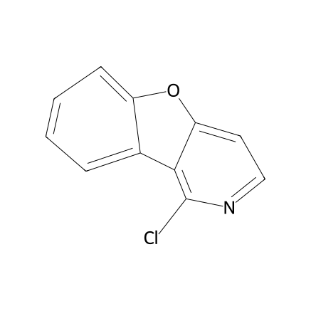 Clc1nccc2oc3ccccc3c12